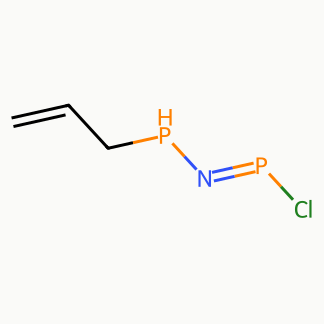 C=CCPN=PCl